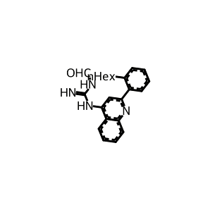 CCCCCCc1ccccc1-c1cc(NC(=N)NC=O)c2ccccc2n1